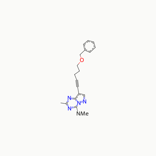 CNc1nc(C)nc2c(C#CCCCOCc3ccccc3)cnn12